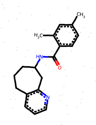 Cc1ccc(C(=O)NC2CCCc3cccnc3C2)c(C)c1